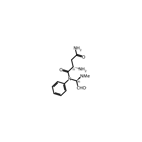 CN[C@@H]([C]=O)N(C(=O)[C@@H](N)CC(N)=O)c1ccccc1